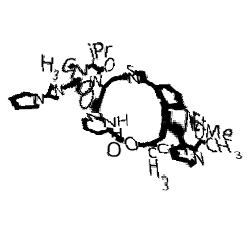 CCn1c(-c2cccnc2[C@H](C)OC)c2c3cc(ccc31)-c1csc(n1)C[C@H](NC(=O)[C@H](C(C)C)N(C)C(=O)N1CC(N3CCCC3)C1)C(=O)N1CCC[C@H](N1)C(=O)OCC(C)(C)C2